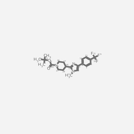 Cn1cc(-c2ccc(C(F)(F)F)cc2)nc1C1CCN(C(=O)OC(C)(C)C)CC1